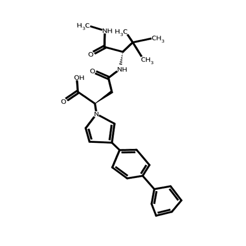 CNC(=O)[C@@H](NC(=O)C[C@H](C(=O)O)n1ccc(-c2ccc(-c3ccccc3)cc2)c1)C(C)(C)C